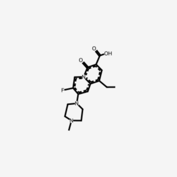 CCc1cc(C(=O)O)c(=O)n2cc(F)c(N3CCN(C)CC3)cc12